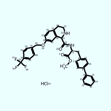 COC(=O)[C@H](Cc1ccc(-c2ccccc2)cc1)NC(=O)C1NCCc2ccc(OCc3ccc(C(F)(F)F)cc3)cc21.Cl